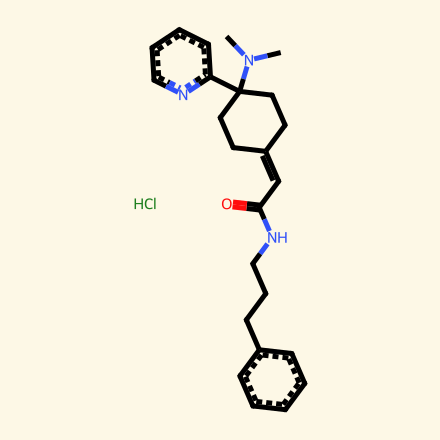 CN(C)C1(c2ccccn2)CCC(=CC(=O)NCCCc2ccccc2)CC1.Cl